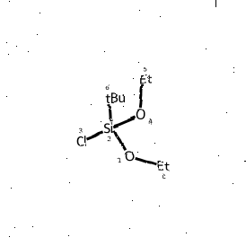 CCO[Si](Cl)(OCC)C(C)(C)C